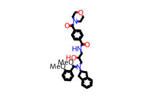 COc1ccccc1C(OC)N(CC(O)CNC(=O)c1ccc(C(=O)N2CCOCC2)cc1)C1Cc2ccccc2C1